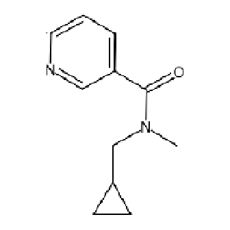 CN(CC1CC1)C(=O)c1cc[c]nc1